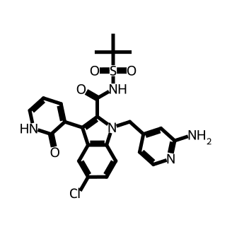 CC(C)(C)S(=O)(=O)NC(=O)c1c(-c2ccc[nH]c2=O)c2cc(Cl)ccc2n1Cc1ccnc(N)c1